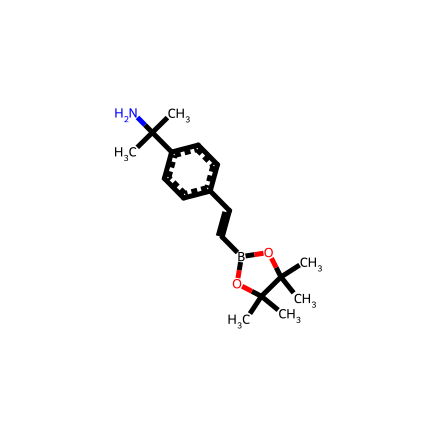 CC(C)(N)c1ccc(C=CB2OC(C)(C)C(C)(C)O2)cc1